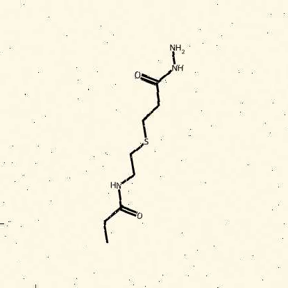 CCC(=O)NCCSCCC(=O)NN